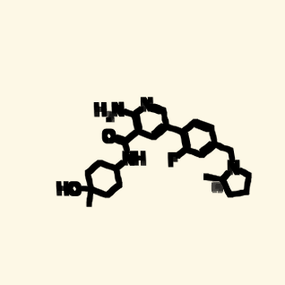 C[C@@H]1CCCN1Cc1ccc(-c2cnc(N)c(C(=O)NC3CCC(C)(O)CC3)c2)c(F)c1